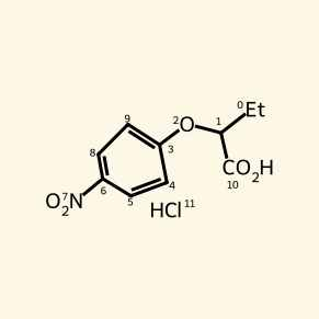 CCC(Oc1ccc([N+](=O)[O-])cc1)C(=O)O.Cl